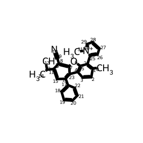 Cc1ccc2c(oc3c(C#N)c(C(C)C)cc(-c4ccccc4)c32)c1-c1cccc[n+]1C